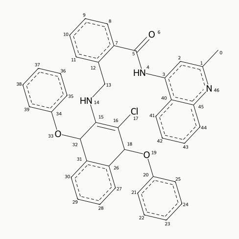 Cc1cc(NC(=O)c2ccccc2CNC2=C(Cl)C(Oc3ccccc3)c3ccccc3C2Oc2ccccc2)c2ccccc2n1